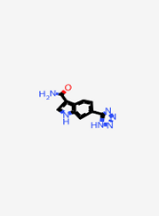 NC(=O)c1c[nH]c2cc(-c3nnn[nH]3)ccc12